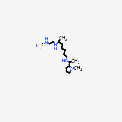 C=C(CCCCCNC(=C)C1CCCN1C)NCCNC